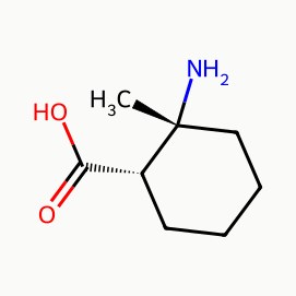 C[C@@]1(N)CCCC[C@@H]1C(=O)O